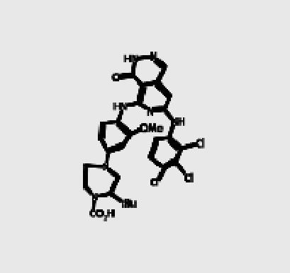 COc1cc(N2CCN(C(=O)O)C(C(C)(C)C)C2)ccc1Nc1nc(Nc2ccc(Cl)c(Cl)c2Cl)cc2cn[nH]c(=O)c12